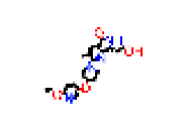 CCOc1ccc(OC2CCN(c3nc4c(cc3C)C(=O)NC4CCO)CC2)cn1